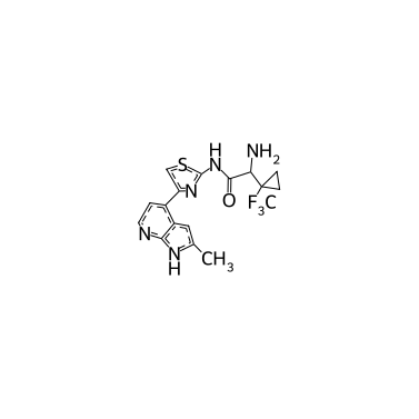 Cc1cc2c(-c3csc(NC(=O)C(N)C4(C(F)(F)F)CC4)n3)ccnc2[nH]1